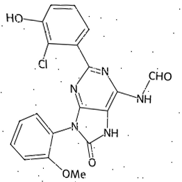 COc1ccccc1-n1c(=O)[nH]c2c(NC=O)nc(-c3cccc(O)c3Cl)nc21